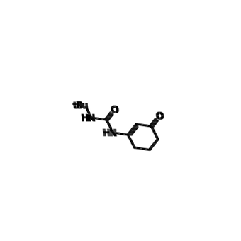 CC(C)(C)NC(=O)NC1=CC(=O)CCC1